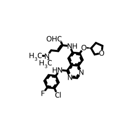 CN(C)CC=C(C=O)Nc1cc2c(Nc3ccc(F)c(Cl)c3)ncnc2cc1O[C@H]1CCOC1